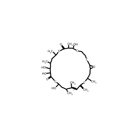 C=C1/C=C(\C)C(C)CC(O)CC(=O)C(O)C(O)C(C)CC(C)OC(=O)C(C)C(O)CCCCC2OC2CC(C)C1